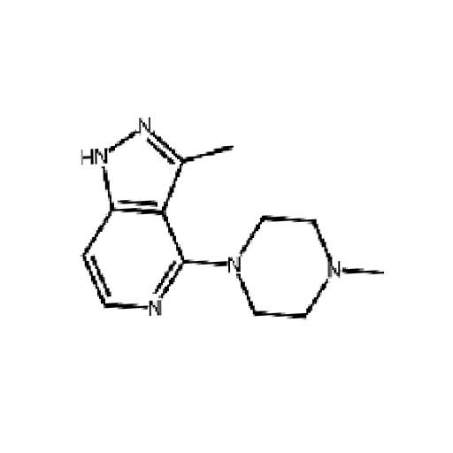 Cc1n[nH]c2ccnc(N3CCN(C)CC3)c12